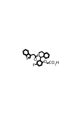 O=C(O)COc1ccc(F)cc1C1c2ccccc2CCN1C(=O)Cc1csc2ccccc12